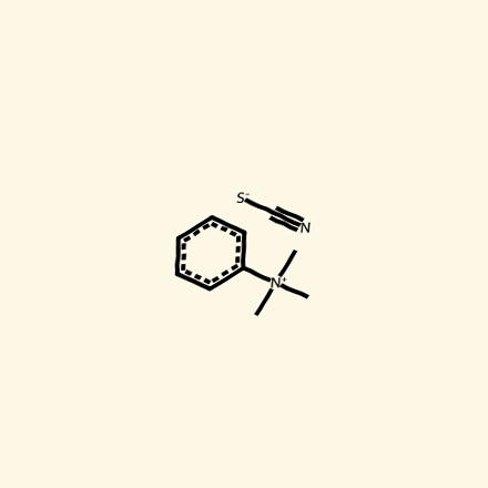 C[N+](C)(C)c1ccccc1.N#C[S-]